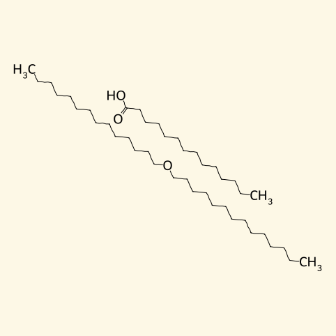 CCCCCCCCCCCCCC(=O)O.CCCCCCCCCCCCCCOCCCCCCCCCCCCCC